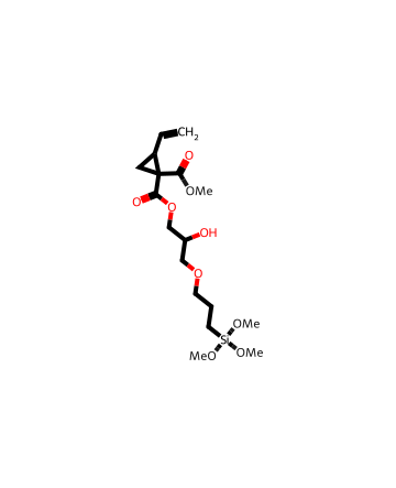 C=CC1CC1(C(=O)OC)C(=O)OCC(O)COCCC[Si](OC)(OC)OC